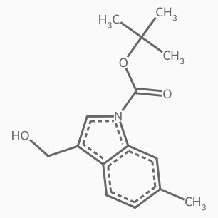 Cc1ccc2c(CO)cn(C(=O)OC(C)(C)C)c2c1